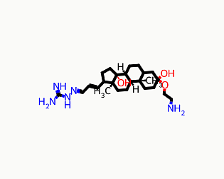 C[C@]12CCC(O)(OCCN)CC1CC[C@@H]1[C@H]2CC[C@]2(C)C(C=C/C=N/NC(=N)N)CC[C@@]12O